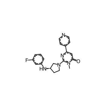 Cn1c(N2CC[C@@H](Nc3cccc(F)c3)C2)nc(-c2ccncc2)cc1=O